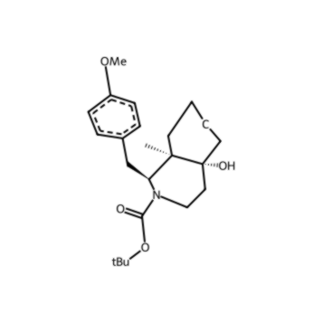 COc1ccc(C[C@@H]2N(C(=O)OC(C)(C)C)CC[C@]3(O)CCCC[C@]23C)cc1